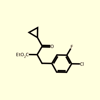 CCOC(=O)C(Cc1ccc(Cl)c(F)c1)C(=O)C1CC1